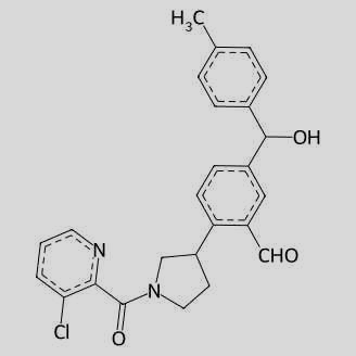 Cc1ccc(C(O)c2ccc(C3CCN(C(=O)c4ncccc4Cl)C3)c(C=O)c2)cc1